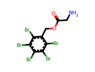 NCC(=O)OCc1c(Br)c(Br)c(Br)c(Br)c1Br